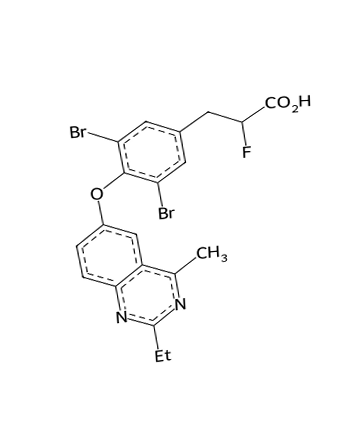 CCc1nc(C)c2cc(Oc3c(Br)cc(CC(F)C(=O)O)cc3Br)ccc2n1